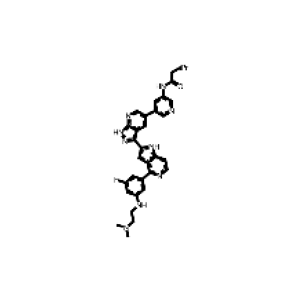 CC(C)CC(=O)Nc1cncc(-c2cnc3[nH]nc(-c4cc5c(-c6cc(F)cc(NCCN(C)C)c6)nccc5[nH]4)c3c2)c1